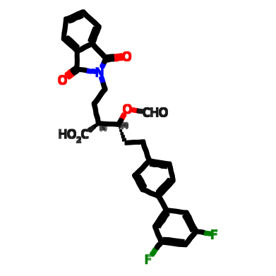 O=CO[C@H](CCc1ccc(-c2cc(F)cc(F)c2)cc1)[C@H](CCN1C(=O)c2ccccc2C1=O)C(=O)O